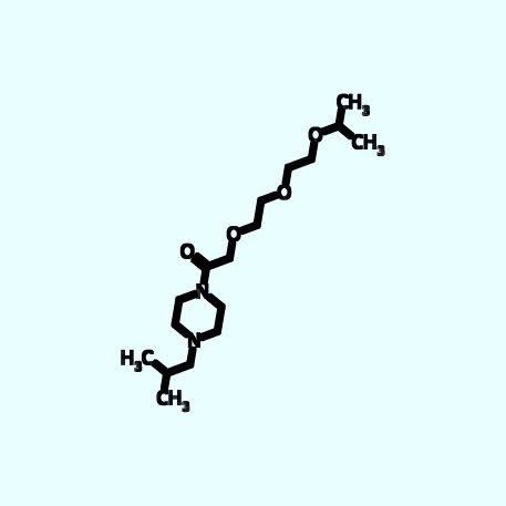 CC(C)CN1CCN(C(=O)COCCOCCOC(C)C)CC1